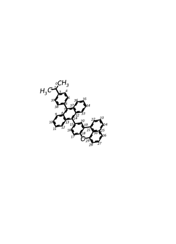 CC(C)c1ccc(-c2c3ccccc3c(-c3ccc4c(c3)-c3cccc5cccc(c35)O4)c3ccccc23)cc1